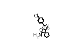 NC(=O)C1(c2nc(-c3ccc(Cl)cc3)no2)CCCC1